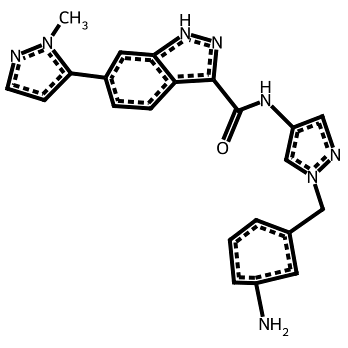 Cn1nccc1-c1ccc2c(C(=O)Nc3cnn(Cc4cccc(N)c4)c3)n[nH]c2c1